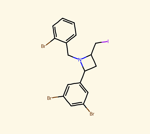 Brc1cc(Br)cc(C2CC(CI)N2Cc2ccccc2Br)c1